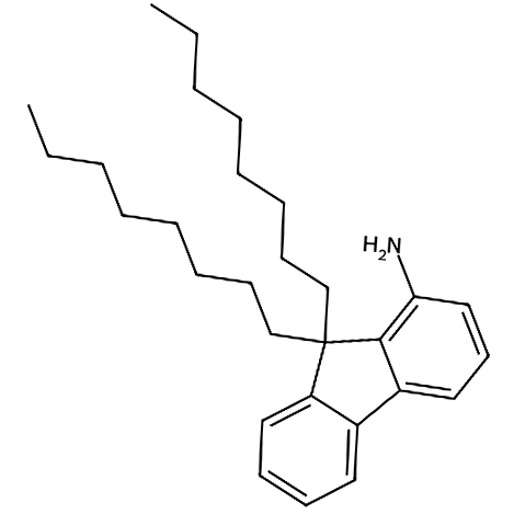 CCCCCCCCC1(CCCCCCCC)c2ccccc2-c2cccc(N)c21